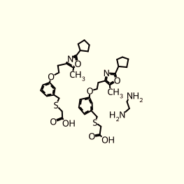 Cc1oc(C2CCCC2)nc1CCOc1cccc(CSCC(=O)O)c1.Cc1oc(C2CCCC2)nc1CCOc1cccc(CSCC(=O)O)c1.NCCN